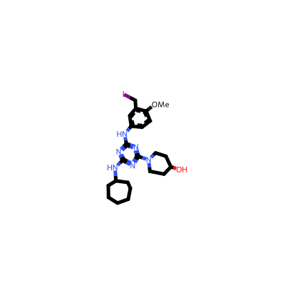 COc1ccc(Nc2nc(NC3CCCCCC3)nc(N3CCC(O)CC3)n2)cc1CI